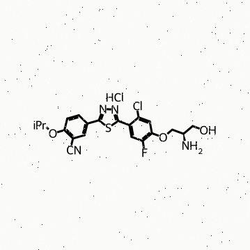 CC(C)Oc1ccc(-c2nnc(-c3cc(F)c(OC[C@H](N)CO)cc3Cl)s2)cc1C#N.Cl